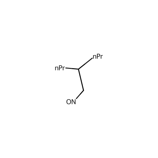 CCCC(CCC)CN=O